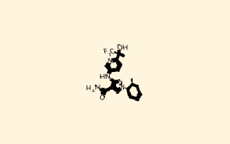 C[C@H]1CCCC[C@@H]1n1cc(C(N)=O)c(Nc2ccc([C@@](C)(O)C(F)(F)F)nc2)n1